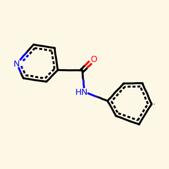 O=C(Nc1cc[c]cc1)c1ccncc1